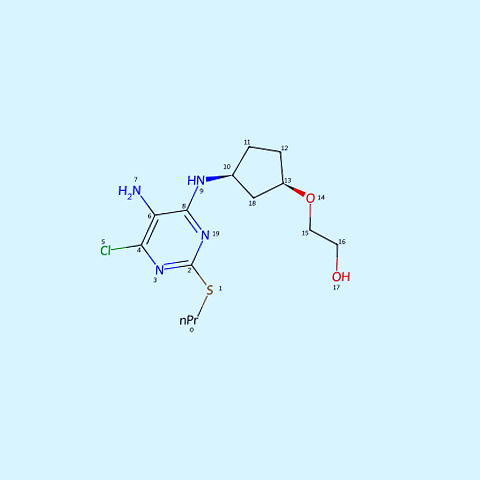 CCCSc1nc(Cl)c(N)c(N[C@H]2CC[C@@H](OCCO)C2)n1